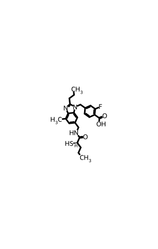 CCCc1nc2c(C)cc(CNC(=O)[C@H](S)CCC)cc2n1Cc1ccc(C(=O)O)c(F)c1